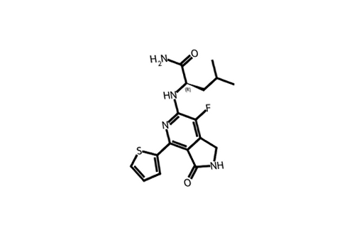 CC(C)C[C@@H](Nc1nc(-c2cccs2)c2c(c1F)CNC2=O)C(N)=O